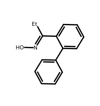 CCC(=NO)c1ccccc1-c1ccccc1